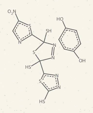 O=[N+]([O-])c1cnc(C2(S)N=NC(S)(c3nnc(S)s3)S2)s1.Oc1ccc(O)cc1